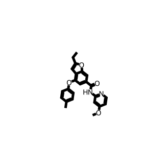 CCc1cc2c(Oc3ccc(C)cc3)cc(C(=O)Nc3cc(OC)ccn3)cc2o1